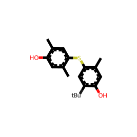 Cc1cc(Sc2cc(C(C)(C)C)c(O)cc2C)c(C)cc1O